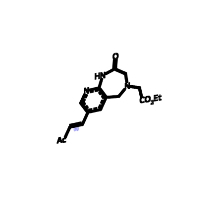 CCOC(=O)CN1CC(=O)Nc2ncc(/C=C/C(C)=O)cc2C1